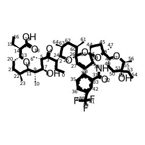 CCC(C(=O)[C@@H](C)[C@@H](O)[C@H](C)[C@@H]1O[C@@H]([C@@H](CC)C(=O)O)CC[C@@H]1C)[C@H]1O[C@]2(C=C[C@@H](NC(=O)c3cccc(C(F)(F)F)c3)[C@]3(CC[C@@](C)([C@H]4CC[C@](O)(CC)[C@H](C)O4)O3)O2)[C@H](C)C[C@@H]1C